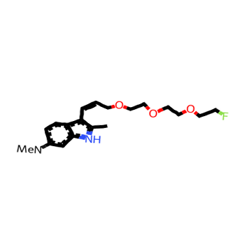 CNc1ccc2c(/C=C\COCCOCCOCCF)c(C)[nH]c2c1